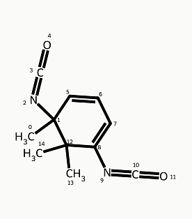 CC1(N=C=O)C=CC=C(N=C=O)C1(C)C